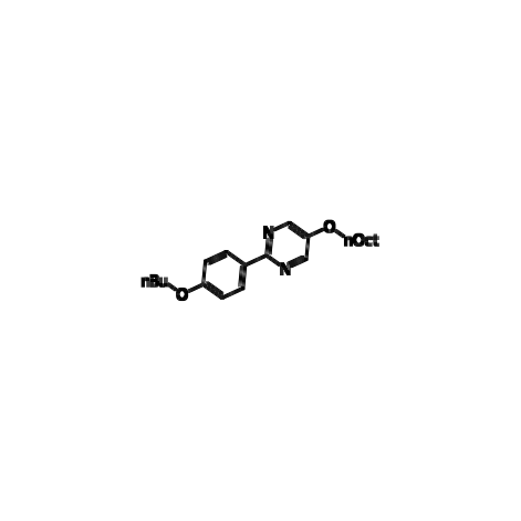 CCCCCCCCOc1cnc(-c2ccc(OCCCC)cc2)nc1